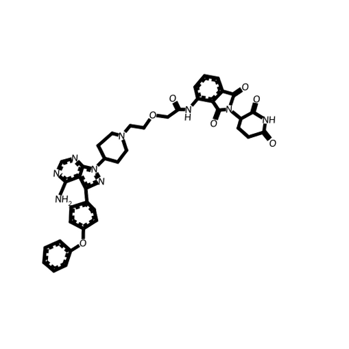 Nc1ncnc2c1c(-c1ccc(Oc3ccccc3)cc1)nn2C1CCN(CCOCC(=O)Nc2cccc3c2C(=O)N(C2CCC(=O)NC2=O)C3=O)CC1